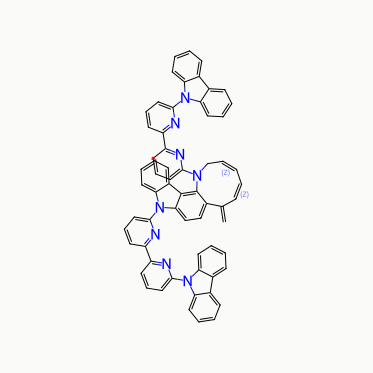 C=C1/C=C\C=C/CN(c2cccc(-c3cccc(-n4c5ccccc5c5ccccc54)n3)n2)c2c1ccc1c2c2ccccc2n1-c1cccc(-c2cccc(-n3c4ccccc4c4ccccc43)n2)n1